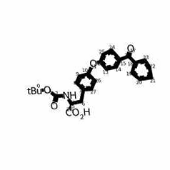 CC(C)(C)OC(=O)N[C@@H](Cc1ccc(Oc2ccc(C(=O)c3ccccc3)cc2)cc1)C(=O)O